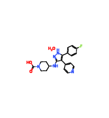 O.O=C(O)N1CCC(Nc2n[nH]c(-c3ccc(F)cc3)c2-c2ccncc2)CC1